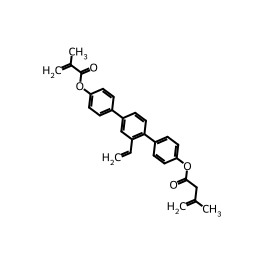 C=Cc1cc(-c2ccc(OC(=O)C(=C)C)cc2)ccc1-c1ccc(OC(=O)CC(=C)C)cc1